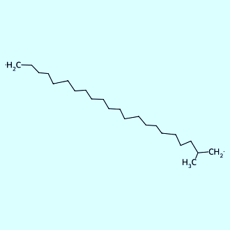 [CH2]CCCCCCCCCCCCCCCCCCCC([CH2])C